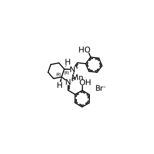 Oc1ccccc1C=[N+]1[Mn][N+](=Cc2ccccc2O)[C@@H]2CCCC[C@H]21.[Br-]